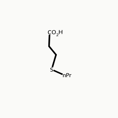 [CH2]CCSCCC(=O)O